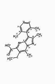 CCc1c(C(=O)O)nc2c(-c3c(C)cccc3C)c(C)nn2c1C